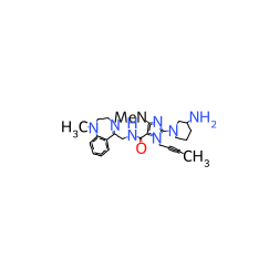 CC#CCn1c(N2CCCC(N)C2)nc(NC)c1C(=O)NCC1=NCCN(C)c2ccccc21